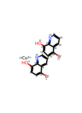 Oc1ccc(Br)c2cccnc12.Oc1ccc(Br)c2cccnc12.[Cu+2]